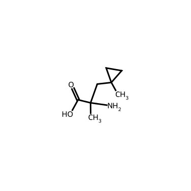 CC1(CC(C)(N)C(=O)O)CC1